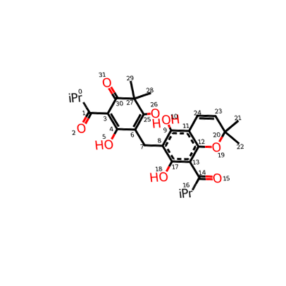 CC(C)C(=O)C1=C(O)C(Cc2c(O)c3c(c(C(=O)C(C)C)c2O)OC(C)(C)C=C3)=C(O)C(C)(C)C1=O